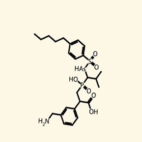 CCCCCc1ccc(S(=O)(=O)[AsH]C(C(C)C)P(=O)(O)CC(C(=O)O)c2cccc(CN)c2)cc1